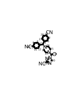 N#Cc1ccc(C(c2ccc(C#N)cc2)N2CCN(C(=O)n3cnc(C#N)n3)CC2)cc1